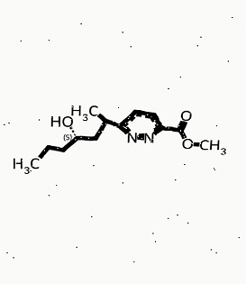 CCC[C@H](O)CC(C)c1ccc(C(=O)OC)nn1